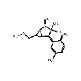 C=c1ccc(C)c/c1=C1\C2C(COC)C2N(C)C1(C)C